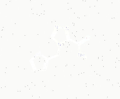 NC(=O)c1nncn1Cc1cccs1